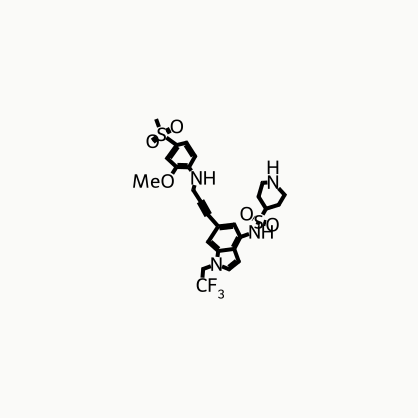 COc1cc(S(C)(=O)=O)ccc1NCC#Cc1cc(NS(=O)(=O)C2CCNCC2)c2ccn(CC(F)(F)F)c2c1